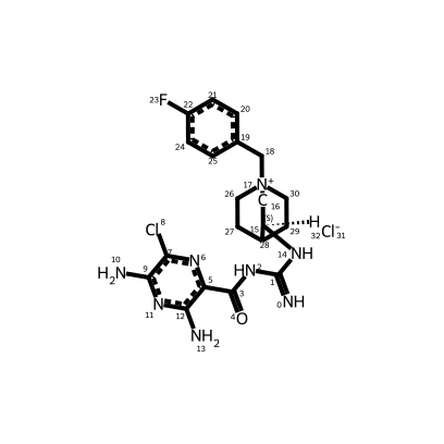 N=C(NC(=O)c1nc(Cl)c(N)nc1N)N[C@@H]1C[N+]2(Cc3ccc(F)cc3)CCC1CC2.[Cl-]